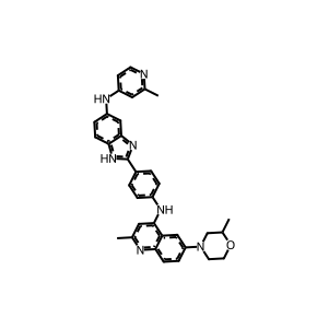 Cc1cc(Nc2ccc3[nH]c(-c4ccc(Nc5cc(C)nc6ccc(N7CCOC(C)C7)cc56)cc4)nc3c2)ccn1